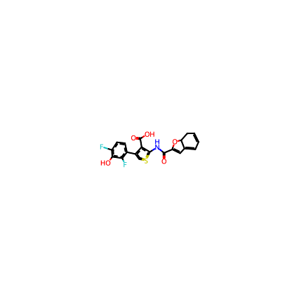 O=C(Nc1scc(-c2ccc(F)c(O)c2F)c1C(=O)O)C1=CC2=CC=CCC2O1